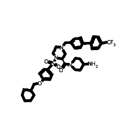 NC1CCN(C(=O)[C@@H]2CN(Cc3ccc(-c4ccc(C(F)(F)F)cc4)cc3)CCN2S(=O)(=O)c2ccc(OCC3CCCCC3)cc2)CC1